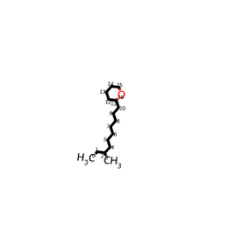 CCC(C)CCCCCCCC1CCCCO1